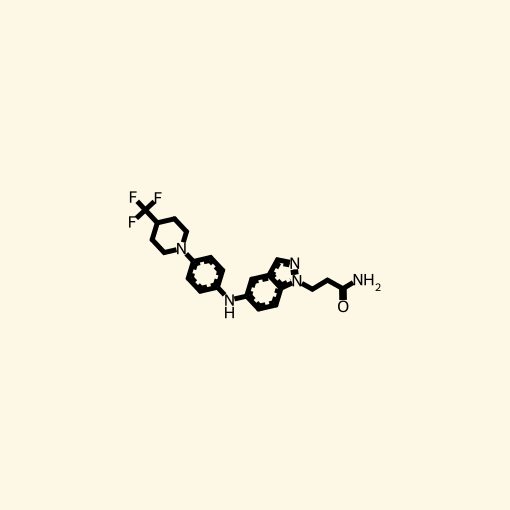 NC(=O)CCn1ncc2cc(Nc3ccc(N4CCC(C(F)(F)F)CC4)cc3)ccc21